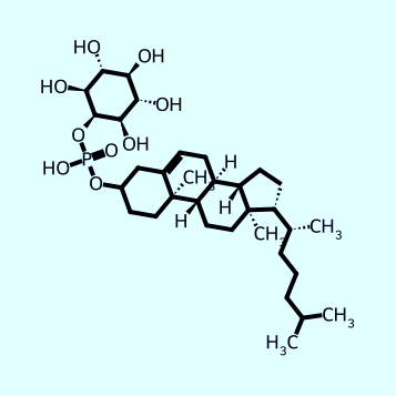 CC(C)CCC[C@@H](C)[C@H]1CC[C@H]2[C@@H]3CC=C4CC(OP(=O)(O)O[C@@H]5[C@H](O)[C@@H](O)[C@H](O)[C@@H](O)[C@@H]5O)CC[C@]4(C)[C@H]3CC[C@]12C